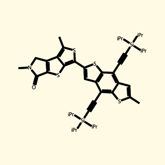 Cc1cc2c(C#C[Si](C(C)C)(C(C)C)C(C)C)c3sc(-c4sc(C)c5c6c(sc45)C(=O)N(C)C6)cc3c(C#C[Si](C(C)C)(C(C)C)C(C)C)c2s1